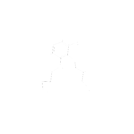 CCCCOc1[c]ccc(Br)c1OCCCC